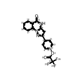 O=C(O[n+]1ccc(-c2cc3[nH]c(=O)c4ccccc4n3n2)cc1)C(F)(F)F